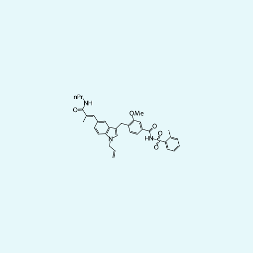 C=CCn1cc(Cc2ccc(C(=O)NS(=O)(=O)c3ccccc3C)cc2OC)c2cc(/C=C(\C)C(=O)NCCC)ccc21